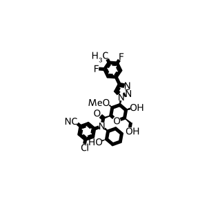 CO[C@@H]1[C@@H](n2cc(-c3cc(F)c(C)c(F)c3)nn2)[C@@H](O)[C@@H](CO)O[C@H]1C(=O)N(c1cc(Cl)cc(C#N)c1)[C@H]1CCCC[C@@H]1O